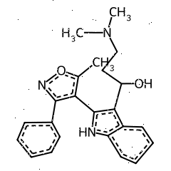 Cc1onc(-c2ccccc2)c1-c1[nH]c2ccccc2c1C(O)CCN(C)C